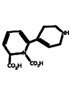 O=C(O)C1C=CC=C(C2=CCNCC2)N1C(=O)O